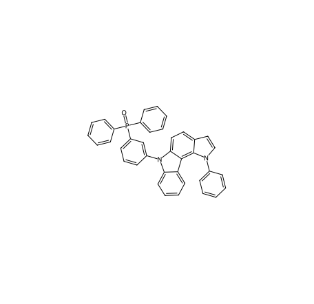 O=P(c1ccccc1)(c1ccccc1)c1cccc(-n2c3ccccc3c3c4c(ccc32)ccn4-c2ccccc2)c1